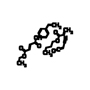 C=CC(=O)OCCCC.C=Cc1ccccc1.CCOC(=O)C=CC(=O)O.N#CC=C=O